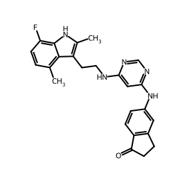 Cc1[nH]c2c(F)ccc(C)c2c1CCNc1cc(Nc2ccc3c(c2)CCC3=O)ncn1